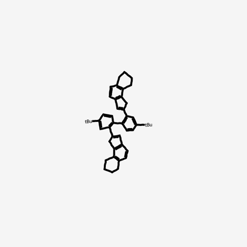 CC(C)(C)c1ccc(-c2ccc(C(C)(C)C)cc2C2=Cc3ccc4c(c3C2)CCCC4)c(C2=Cc3ccc4c(c3C2)CCCC4)c1